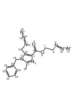 Cc1nc(C(=O)OCCN=[N+]=[N-])c(CN=[N+]=[N-])n1Cc1ccccc1